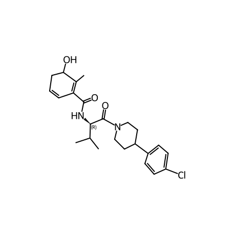 CC1=C(C(=O)N[C@@H](C(=O)N2CCC(c3ccc(Cl)cc3)CC2)C(C)C)C=CCC1O